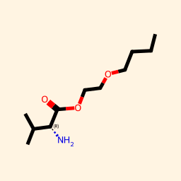 CCCCOCCOC(=O)[C@H](N)C(C)C